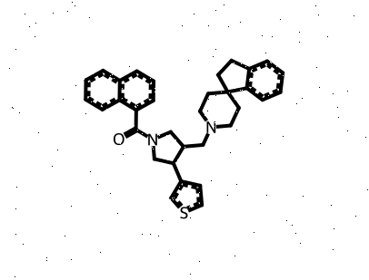 O=C(c1cccc2ccccc12)N1CC(CN2CCC3(CCc4ccccc43)CC2)C(c2ccsc2)C1